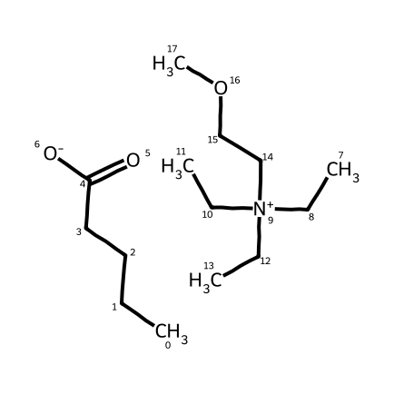 CCCCC(=O)[O-].CC[N+](CC)(CC)CCOC